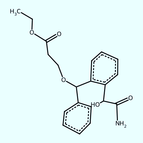 CCOC(=O)CCOC(c1ccccc1)c1ccccc1C(O)C(N)=O